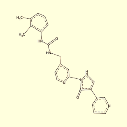 Cc1cccc(NC(=O)NCc2ccnc(-n3[nH]cc(-c4cccnc4)c3=O)c2)c1C